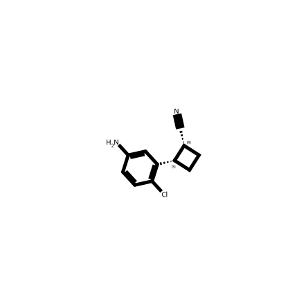 N#C[C@@H]1CC[C@@H]1c1cc(N)ccc1Cl